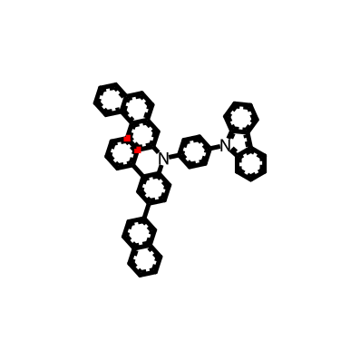 c1ccc(-c2cc(-c3ccc4ccccc4c3)ccc2N(c2ccc(-n3c4ccccc4c4ccccc43)cc2)c2ccc3c(ccc4ccccc43)c2)cc1